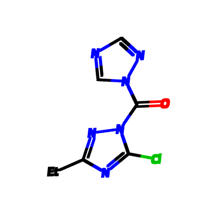 CCc1nc(Cl)n(C(=O)n2cncn2)n1